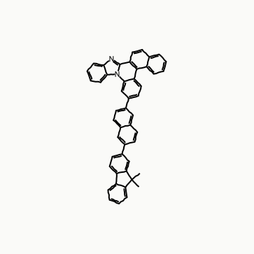 CC1(C)c2ccccc2-c2ccc(-c3ccc4cc(-c5ccc6c7c8ccccc8ccc7c7nc8ccccc8n7c6c5)ccc4c3)cc21